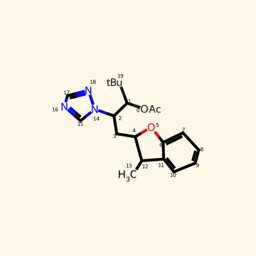 CC(=O)OC(C(CC1Oc2ccccc2C1C)n1cncn1)C(C)(C)C